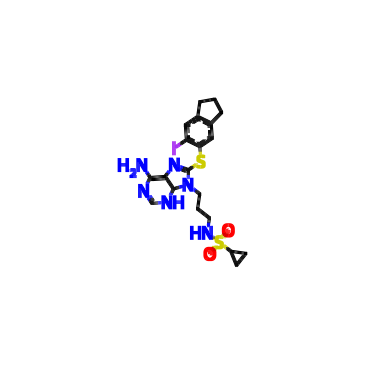 NC1=C2N=C(Sc3cc4c(cc3I)CCC4)N(CCCNS(=O)(=O)C3CC3)C2NC=N1